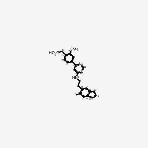 CSc1cc(-c2cc(NCCc3cc4ccsc4cc3C)ncn2)ccc1CC(=O)O